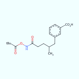 CC(CCC(=O)NOC(=O)C(C)(C)C)Cc1cccc(C(=O)O)c1